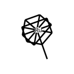 C[C]12[CH]3[CH]4[CH]5[CH]1[Ru]45321678[CH]2[CH]1[CH]6[CH]7[CH]28